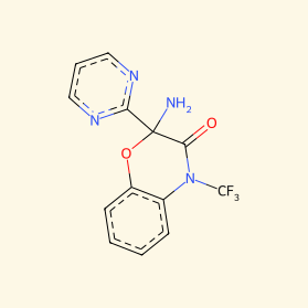 NC1(c2ncccn2)Oc2ccccc2N(C(F)(F)F)C1=O